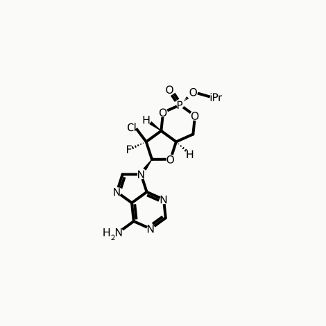 CC(C)O[P@]1(=O)OC[C@H]2O[C@@H](n3cnc4c(N)ncnc43)[C@@](F)(Cl)[C@@H]2O1